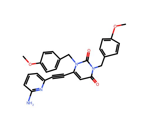 COc1ccc(Cn2c(C#Cc3cccc(N)n3)cc(=O)n(Cc3ccc(OC)cc3)c2=O)cc1